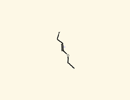 [CH2]C/C=C/OCC